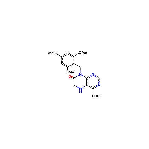 COc1cc(OC)c(CN2C(=O)CNc3c(C=O)ncnc32)c(OC)c1